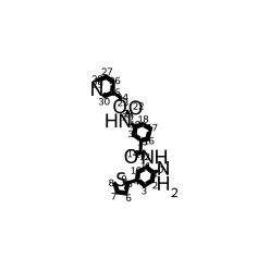 Nc1ccc(-c2cccs2)cc1NC(=O)c1cccc(NC(=O)OCc2cccnc2)c1